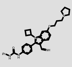 CC(C)NC(=O)Nc1ccc(-c2c(C=N)c3ccc(OCCCN4CCCC4)cc3n2C2CCC2)cc1